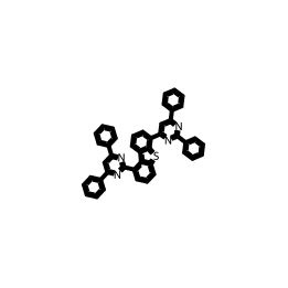 c1ccc(-c2cc(-c3cccc4c3sc3cccc(-c5nc(-c6ccccc6)cc(-c6ccccc6)n5)c34)nc(-c3ccccc3)n2)cc1